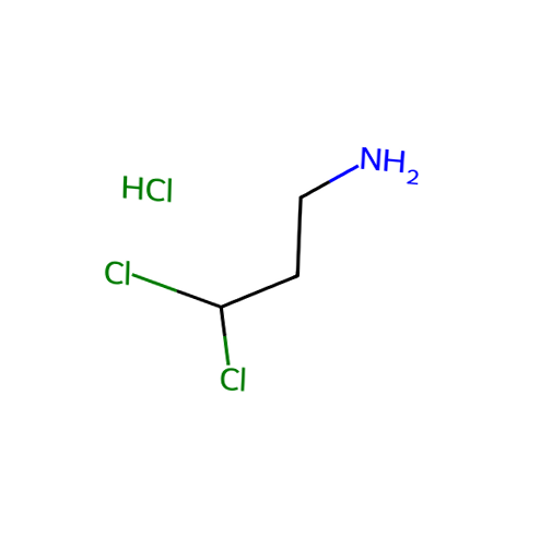 Cl.NCCC(Cl)Cl